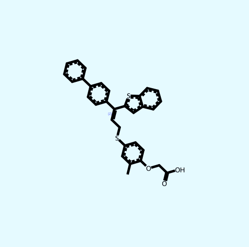 Cc1cc(SC/C=C(/c2ccc(-c3ccccc3)cc2)c2cc3ccccc3s2)ccc1OCC(=O)O